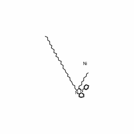 CCCCCCCCCCCCCCCCCCCCCCCCCCCC(=Nc1ccccc1)C(CCCCCCCC)=Nc1ccccc1.[Ni]